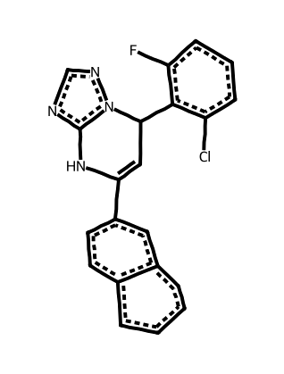 Fc1cccc(Cl)c1C1C=C(c2ccc3ccccc3c2)Nc2ncnn21